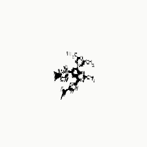 Cc1nc(-c2nnc(C(F)F)s2)c2cc(S(=O)(=O)NC3(C#N)CC3)cc(N3C[C@H](C)O[C@@H](C)C3)c2n1